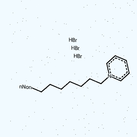 Br.Br.Br.CCCCCCCCCCCCCCCC[n+]1ccccc1